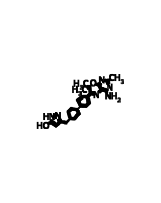 Cc1nc(N)c2c(n1)OC(C)(C)C(c1ccc([C@H]3CC[C@H](Cc4cc(O)[nH]n4)CC3)cc1)=N2